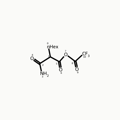 CCCCCCC(C(N)=O)C(=O)OC(=O)C(F)(F)F